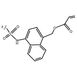 C=CC(=O)OCc1ccc(NS(=O)(=O)C(F)(F)F)c2ccccc12